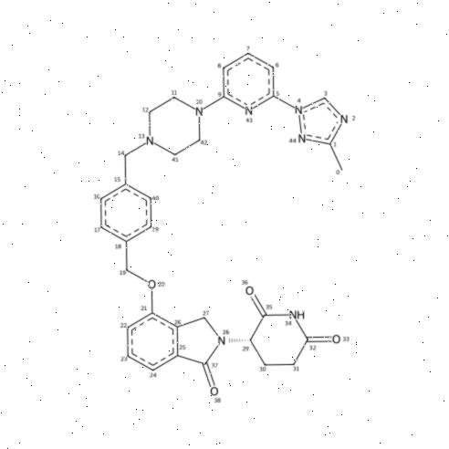 Cc1ncn(-c2cccc(N3CCN(Cc4ccc(COc5cccc6c5CN([C@H]5CCC(=O)NC5=O)C6=O)cc4)CC3)n2)n1